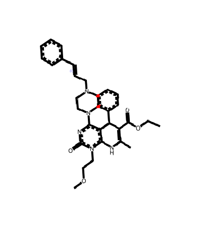 CCOC(=O)C1=C(C)Nc2c(c(N3CCN(C/C=C/c4ccccc4)CC3)nc(=O)n2CCOC)C1c1ccccc1